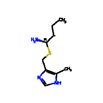 CC[CH][C@H](N)SCc1nc[nH]c1C